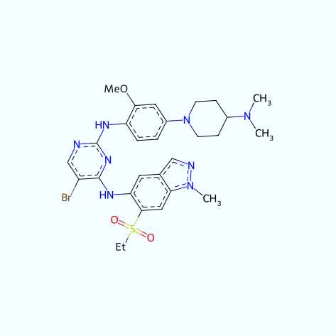 CCS(=O)(=O)c1cc2c(cnn2C)cc1Nc1nc(Nc2ccc(N3CCC(N(C)C)CC3)cc2OC)ncc1Br